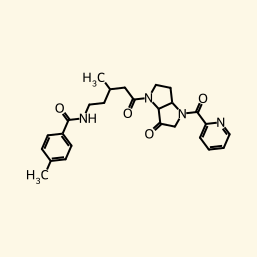 Cc1ccc(C(=O)NCCC(C)CC(=O)N2CCC3C2C(=O)CN3C(=O)c2ccccn2)cc1